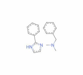 CN(C)Cc1ccccc1.c1ccc(-c2ncc[nH]2)cc1